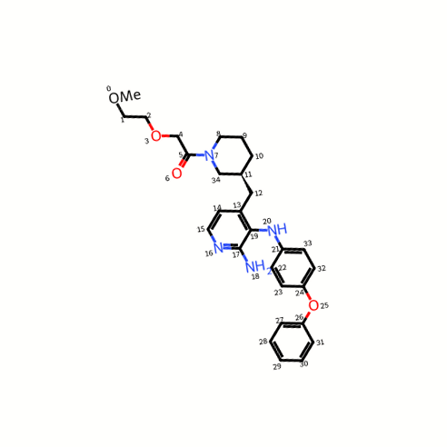 COCCOCC(=O)N1CCC[C@@H](Cc2ccnc(N)c2Nc2ccc(Oc3ccccc3)cc2)C1